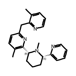 Cc1cccnc1Cc1ccc(C)c([C@H]2CCC[C@@H](c3ccccn3)N2C)n1